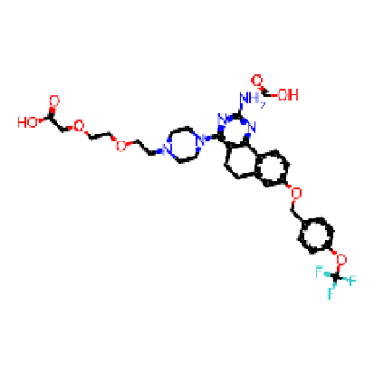 Nc1nc2c(c(N3CCN(CCOCCOCC(=O)O)CC3)n1)CCc1cc(OCc3ccc(OC(F)(F)F)cc3)ccc1-2.O=CO